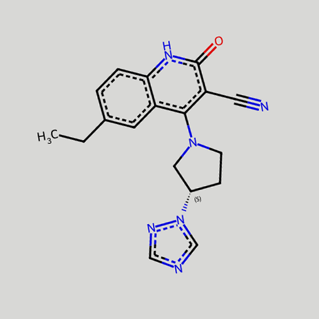 CCc1ccc2[nH]c(=O)c(C#N)c(N3CC[C@H](n4cncn4)C3)c2c1